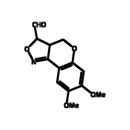 COc1cc2c(cc1OC)C1=NOC(C=O)C1CO2